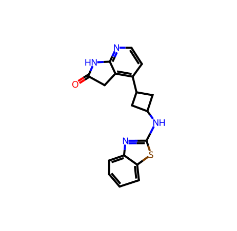 O=C1Cc2c(C3CC(Nc4nc5ccccc5s4)C3)ccnc2N1